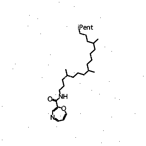 CCCC(C)CCCC(C)CCCCC(C)CCCC(C)CCCNC(=O)C1=CN=CC=CO1